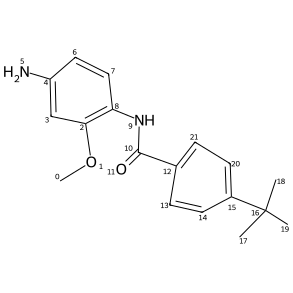 COc1cc(N)ccc1NC(=O)c1ccc(C(C)(C)C)cc1